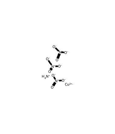 O=[N+]([O-])[O-].O=[N+]([O-])[O-].O=[N+]([O-])[O-].[Cu+2].[NH4+]